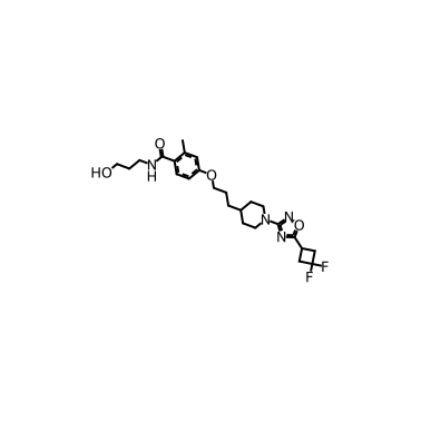 Cc1cc(OCCCC2CCN(c3noc(C4CC(F)(F)C4)n3)CC2)ccc1C(=O)NCCCO